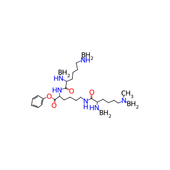 BNCCCCC(NB)C(=O)NC(CCCCNC(=O)C(CCCCN(B)C)NB)C(=O)Oc1ccccc1